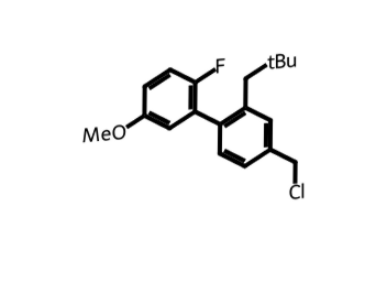 COc1ccc(F)c(-c2ccc(CCl)cc2CC(C)(C)C)c1